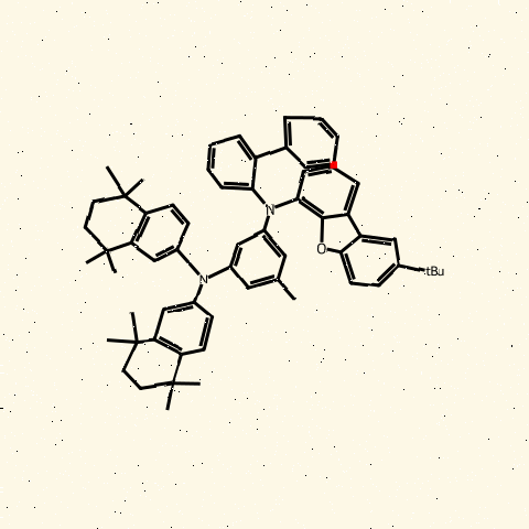 Cc1cc(N(c2ccc3c(c2)C(C)(C)CCC3(C)C)c2ccc3c(c2)C(C)(C)CCC3(C)C)cc(N(c2ccccc2-c2ccccc2)c2cccc3c2oc2ccc(C(C)(C)C)cc23)c1